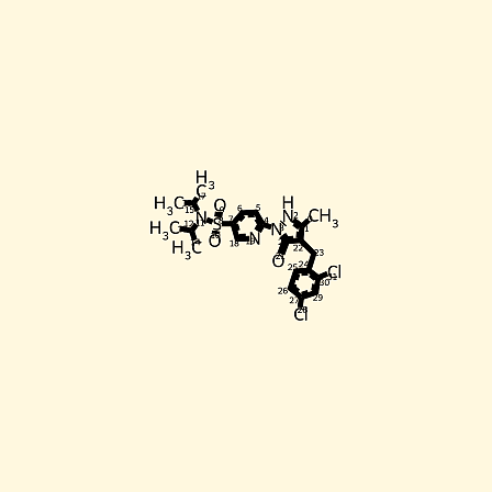 Cc1[nH]n(-c2ccc(S(=O)(=O)N(C(C)C)C(C)C)cn2)c(=O)c1Cc1ccc(Cl)cc1Cl